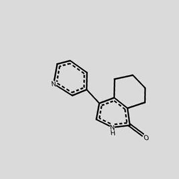 O=c1[nH]cc(-c2cccnc2)c2c1CCCC2